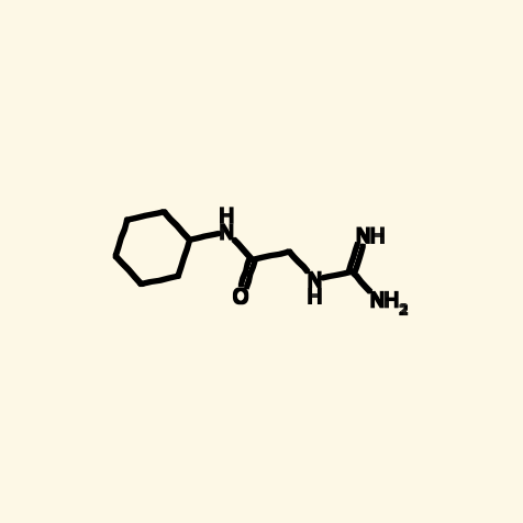 N=C(N)NCC(=O)NC1CCCCC1